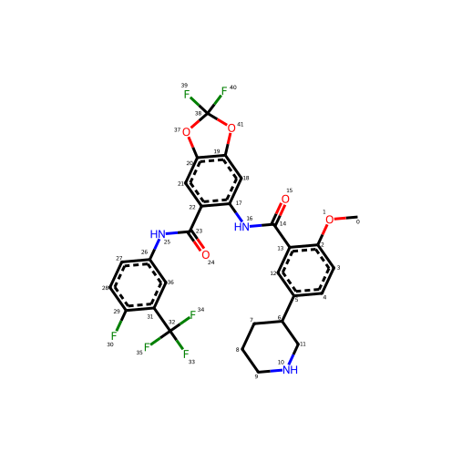 COc1ccc(C2CCCNC2)cc1C(=O)Nc1cc2c(cc1C(=O)Nc1ccc(F)c(C(F)(F)F)c1)OC(F)(F)O2